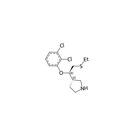 CCSC[C@H](Oc1cccc(Cl)c1Cl)[C@H]1CCNC1